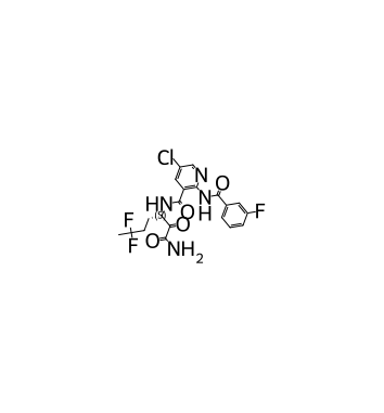 CC(F)(F)CC[C@H](NC(=O)c1cc(Cl)cnc1NC(=O)c1cccc(F)c1)C(=O)C(N)=O